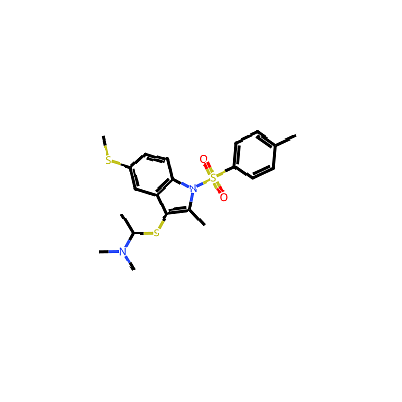 CSc1ccc2c(c1)c(SC(C)N(C)C)c(C)n2S(=O)(=O)c1ccc(C)cc1